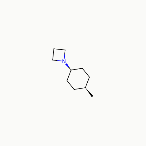 C[C@H]1CC[C@@H](N2CCC2)CC1